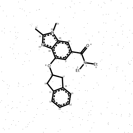 CCN(CC)C(=O)c1cc(OC2Cc3ccccc3C2)c2nc(C)n(C)c2c1